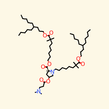 CCCCCC(CCCCC)CCCOC(=O)C(C)(C)CCCCCCOC(=O)[C@@H]1CC(OC(=O)CCN(C)C)CN1CCCCCCC(C)(C)C(=O)OCCCC(CCCCC)CCCCC